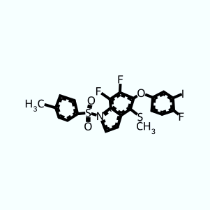 CSc1c(Oc2ccc(F)c(I)c2)c(F)c(F)c2c1ccn2S(=O)(=O)c1ccc(C)cc1